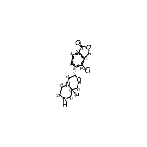 O=C1OCc2c1ccc([C@H]1CN3CCNC[C@H]3CO1)c2Cl